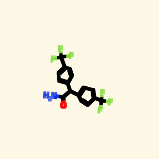 NC(=O)C(c1ccc(C(F)(F)F)cc1)c1ccc(C(F)(F)F)cc1